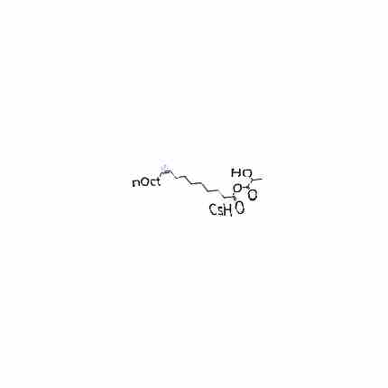 CCCCCCCC/C=C\CCCCCCCC(=O)OC(=O)C(C)O.[CsH]